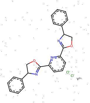 [Cl-].[Cl-].[V+2].c1ccc(C2COC(c3cccc(C4=NC(c5ccccc5)CO4)n3)=N2)cc1